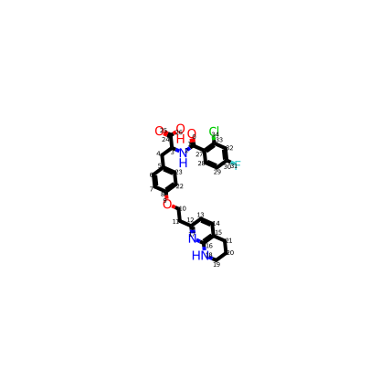 O=C(NC(Cc1ccc(OCCc2ccc3c(n2)NCCC3)cc1)C(=O)O)c1ccc(F)cc1Cl